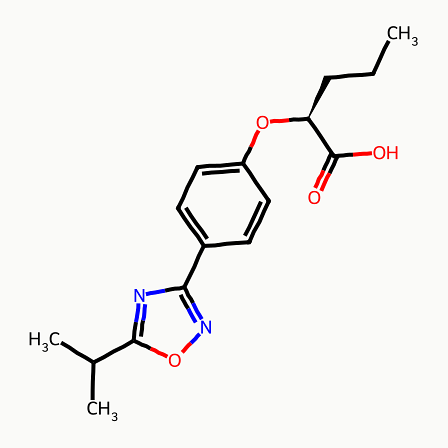 CCC[C@H](Oc1ccc(-c2noc(C(C)C)n2)cc1)C(=O)O